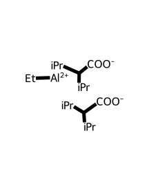 CC(C)C(C(=O)[O-])C(C)C.CC(C)C(C(=O)[O-])C(C)C.C[CH2][Al+2]